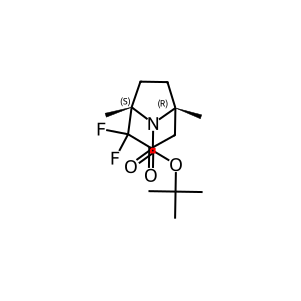 CC(C)(C)OC(=O)N1[C@]2(C)CC[C@@]1(C)C(F)(F)C(=O)C2